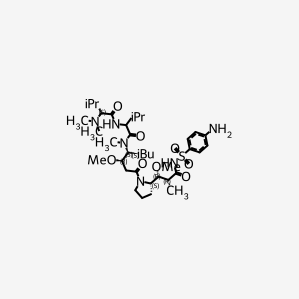 CC[C@H](C)[C@@H]([C@@H](CC(=O)N1CCC[C@H]1[C@H](OC)[C@@H](C)C(=O)NS(=O)(=O)c1ccc(N)cc1)OC)N(C)C(=O)C(NC(=O)[C@H](C(C)C)N(C)C)C(C)C